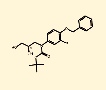 CC(C)(C)OC(=O)N(C[C@@H](O)CO)c1ccc(OCc2ccccc2)c(F)c1